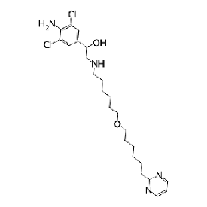 Nc1c(Cl)cc(C(O)CNCCCCCCOCCCCCCc2ncccn2)cc1Cl